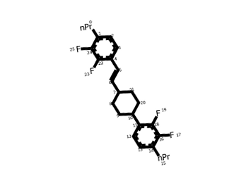 CCCc1ccc(/C=C/C2CCC(c3ccc(CCC)c(F)c3F)CC2)c(F)c1F